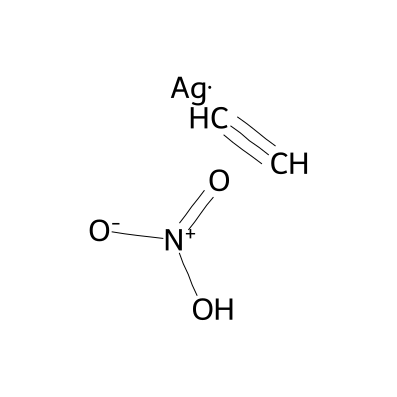 C#C.O=[N+]([O-])O.[Ag]